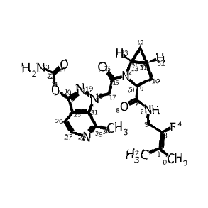 CC(C)=C(F)CNC(=O)[C@@H]1C[C@H]2C[C@H]2N1C(=O)Cn1nc(OC(N)=O)c2ccnc(C)c21